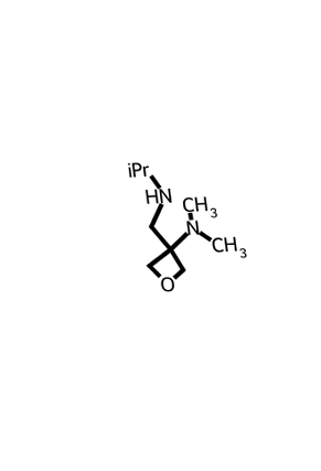 CC(C)NCC1(N(C)C)COC1